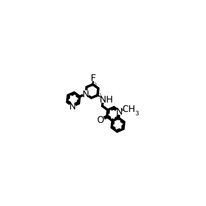 Cn1cc(CN[C@H]2C[C@H](F)CN(c3cccnc3)C2)c(=O)c2ccccc21